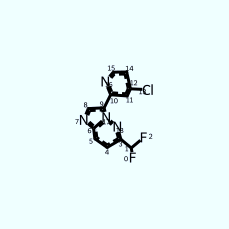 FC(F)c1ccc2ncc(-c3cc(Cl)ccn3)n2n1